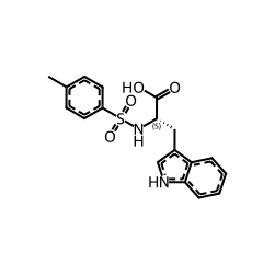 Cc1ccc(S(=O)(=O)N[C@@H](Cc2c[nH]c3ccccc23)C(=O)O)cc1